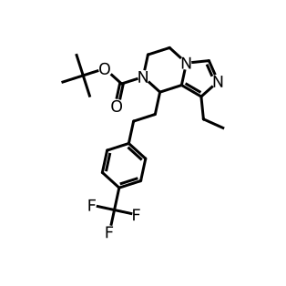 CCc1ncn2c1C(CCc1ccc(C(F)(F)F)cc1)N(C(=O)OC(C)(C)C)CC2